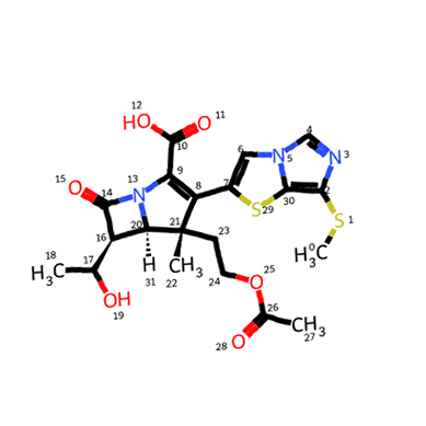 CSc1ncn2cc(C3=C(C(=O)O)N4C(=O)[C@H](C(C)O)[C@@H]4[C@@]3(C)CCOC(C)=O)sc12